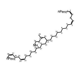 CCCCC/C=C\C/C=C\CCCCCCCCC(CCCCCCCC/C=C\CC/C=C\CCCCC)CN(C)CCN